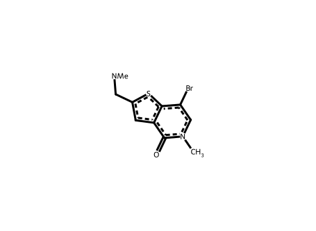 CNCc1cc2c(=O)n(C)cc(Br)c2s1